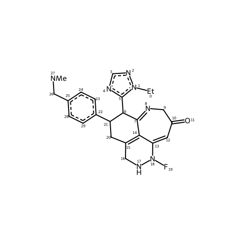 CCn1ncnc1C1C2=NCC(=O)C=C3C2=C(CNN3F)CC1c1ccc(CNC)cc1